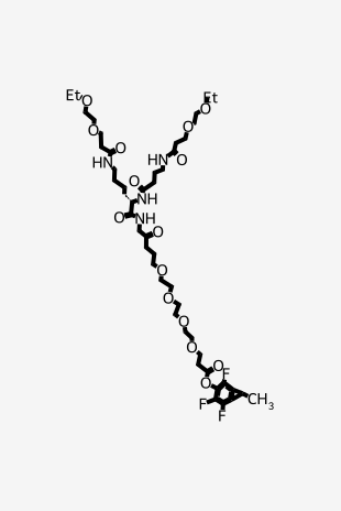 CCOCCOCCC(=O)NCCCC[C@H](NC(=O)CCCNC(=O)CCOCCOCC)C(=O)NCC(=O)CCCOCCOCCOCCOCCC(=O)Oc1c(F)c(F)c2c(c1F)C2C